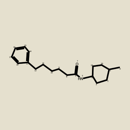 CC1CCC(NC(=O)CCCCCc2ccccc2)CC1